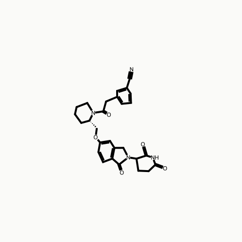 N#Cc1cccc(CC(=O)N2CCCC[C@H]2COc2ccc3c(c2)CN(C2CCC(=O)NC2=O)C3=O)c1